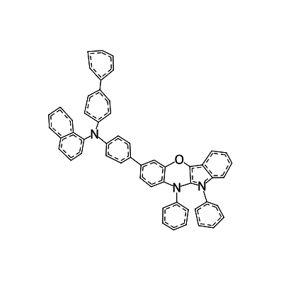 c1ccc(-c2ccc(N(c3ccc(-c4ccc5c(c4)Oc4c(n(-c6ccccc6)c6ccccc46)N5c4ccccc4)cc3)c3cccc4ccccc34)cc2)cc1